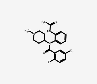 CN1CCC(N(C(=O)c2cc(Cl)ccc2F)c2ccccc2NC(=O)C(F)(F)F)CC1